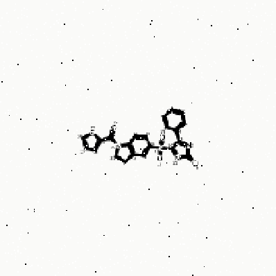 O=C1N=C(c2ccccc2)C(S(=O)(=O)c2ccc3c(c2)CCN3C(=O)c2cccs2)=N1